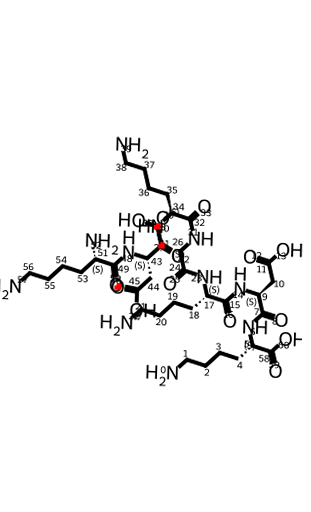 NCCCC[C@H](NC(=O)[C@H](CC(=O)O)NC(=O)[C@H](CCCCN)NC(=O)[C@H](CC(=O)O)NC(=O)[C@H](CCCCN)NC(=O)[C@H](CC(=O)O)NC(=O)[C@@H](N)CCCCN)C(=O)O